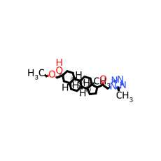 CCOC[C@@]1(O)CC[C@H]2[C@H](CC[C@@H]3[C@@H]2CC[C@]2(C)C(C(=O)Cn4nnnc4C)CC[C@@H]32)C1